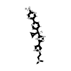 CN(C)CCn1cc(-c2nc([C@](C)(c3ccc(-c4cnc(N)cn4)nc3)C3CC3)no2)cn1